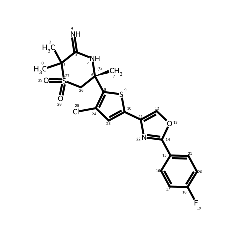 CC1(C)C(=N)N[C@](C)(c2sc(-c3coc(-c4ccc(F)cc4)n3)cc2Cl)CS1(=O)=O